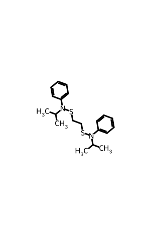 CC(C)N(SCCSN(c1ccccc1)C(C)C)c1ccccc1